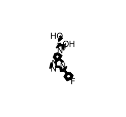 OCC[C@H]1CN(c2ccc3c(c2)Cn2cc(-c4ccc(F)cc4)cc2-c2nccn2-3)C[C@@H]1O